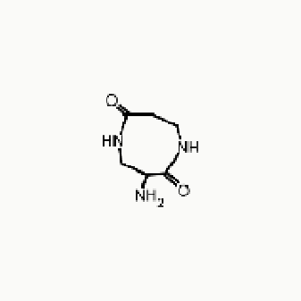 NC1CNC(=O)CCNC1=O